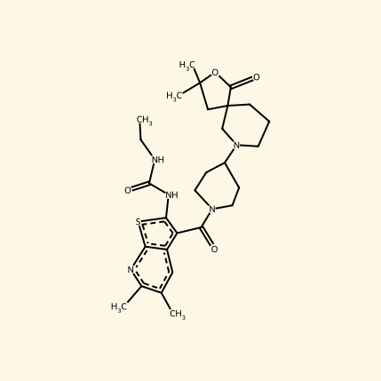 CCNC(=O)Nc1sc2nc(C)c(C)cc2c1C(=O)N1CCC(N2CCCC3(C2)CC(C)(C)OC3=O)CC1